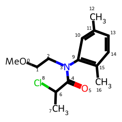 COCCN(C(=O)C(C)Cl)c1cc(C)ccc1C